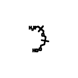 CC(C)(CN)COCC(C)(C)CCOO